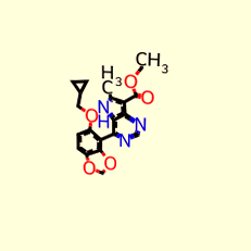 CCOC(=O)c1c(C)[nH]c2c(-c3c(OCC4CC4)ccc4c3OCO4)ncnc12